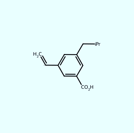 C=[C]c1cc(CC(C)C)cc(C(=O)O)c1